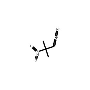 CC(C)(C=[N+]=[N-])[SH](=O)=O